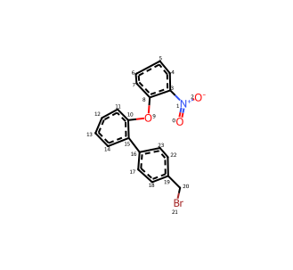 O=[N+]([O-])c1ccccc1Oc1ccccc1-c1ccc(CBr)cc1